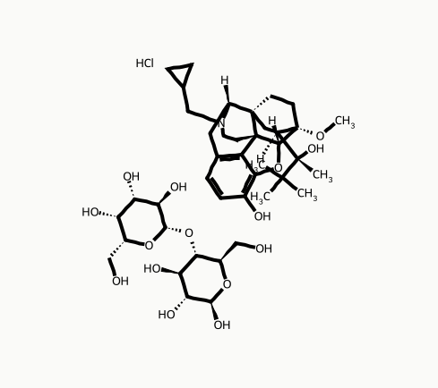 CO[C@@]12CC[C@@]3(C[C@@H]1[C@](C)(O)C(C)(C)C)[C@H]1Cc4ccc(O)c5c4[C@@]3(CCN1CC1CC1)[C@H]2O5.Cl.OC[C@H]1O[C@@H](O[C@H]2[C@H](O)[C@@H](O)[C@H](O)O[C@@H]2CO)[C@H](O)[C@@H](O)[C@H]1O